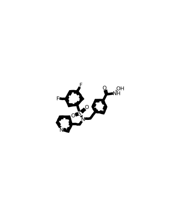 O=C(NO)c1ccc(CN(Cc2cccnc2)S(=O)(=O)c2cc(F)cc(F)c2)cc1